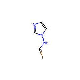 S=CNn1ccnc1